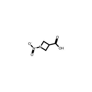 O=C(O)C1CN([N+](=O)[O-])C1